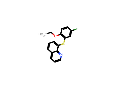 O=C(O)COc1ccc(Cl)cc1Sc1cccc2cccnc12